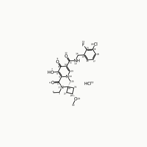 CCN1C(=O)c2c(O)c(=O)c(C(=O)NCc3cccc(Cl)c3F)cn2C[C@]12C[C@@H](OC)C2.Cl